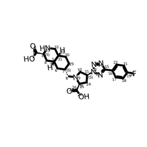 O=C(O)[C@@H]1C[C@H]2C[C@@H](CN3C[C@@H](n4nnc(-c5ccc(F)cc5)n4)C[C@H]3C(=O)O)CC[C@H]2CN1